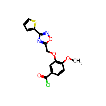 COc1ccc(C(=O)Cl)cc1OCc1nc(-c2cccs2)no1